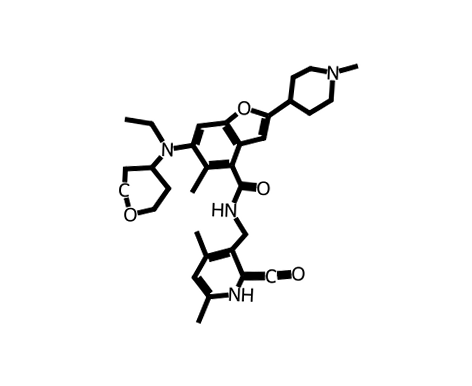 CCN(c1cc2oc(C3CCN(C)CC3)cc2c(C(=O)NCC2=C(C)C=C(C)NC2=C=O)c1C)C1CCOCC1